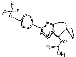 O=C(O)NC1c2ccc(-c3ccc(OC(F)(F)F)cc3)cc2CCC12CC2